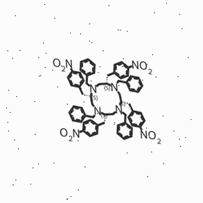 O=[N+]([O-])c1ccc(C[C@H]2CN(Cc3ccccc3)[C@@H](Cc3ccc([N+](=O)[O-])cc3)CN(Cc3ccccc3)[C@@H](Cc3ccc([N+](=O)[O-])cc3)CN(Cc3ccccc3)[C@@H](Cc3ccc([N+](=O)[O-])cc3)CN2Cc2ccccc2)cc1